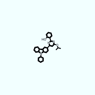 CC(C)Oc1cc(-c2ccc3c(c2)c2ccccc2n3-c2ccccc2)nc(-c2ccccc2O)n1